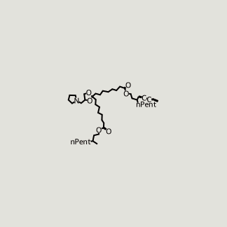 C=C=C=C=CC(CCCCC)CCOC(=O)CCCCCCCC1(CCCCCCCC(=O)OCCC(C)CCCCC)OCC(CN2CCCC2)O1